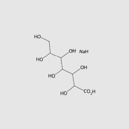 O=C(O)C(O)C(O)C(O)C(O)C(O)CO.[NaH]